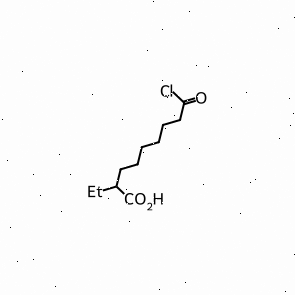 CCC(CCCCCCC(=O)Cl)C(=O)O